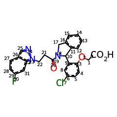 O=C(O)COc1ccc(Cl)cc1C1c2ccccc2CN1C(=O)CCn1ncc2ccc(F)cc21